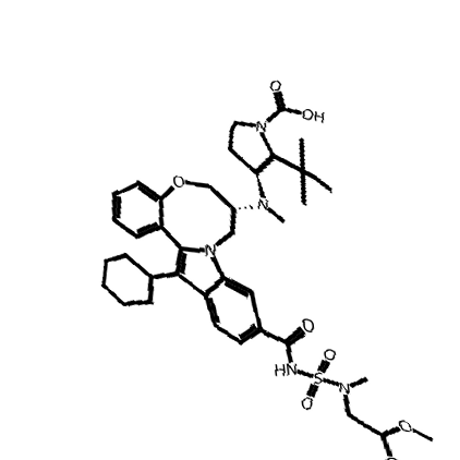 COC(CN(C)S(=O)(=O)NC(=O)c1ccc2c(C3CCCCC3)c3n(c2c1)C[C@@H](N(C)[C@H]1CCN(C(=O)O)C1C(C)(C)C)COc1ccccc1-3)OC